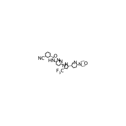 N#Cc1cccc(C(=O)Nc2ccc(-n3nc(-c4ccc(N5CCOCC5)nc4)cc3C(F)(F)F)nn2)c1